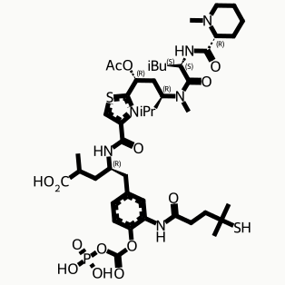 CC[C@H](C)[C@H](NC(=O)[C@H]1CCCCN1C)C(=O)N(C)[C@H](C[C@@H](OC(C)=O)c1nc(C(=O)N[C@@H](Cc2ccc(OC(=O)OP(=O)(O)O)c(NC(=O)CCC(C)(C)S)c2)CC(C)C(=O)O)cs1)C(C)C